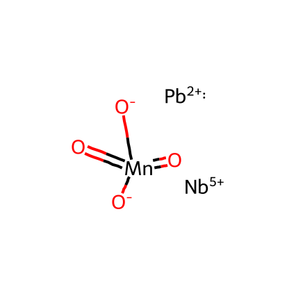 [Nb+5].[O]=[Mn](=[O])([O-])[O-].[Pb+2]